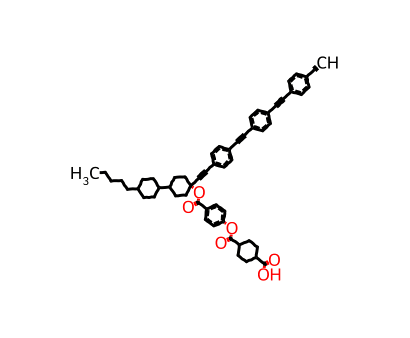 C#Cc1ccc(C#Cc2ccc(C#Cc3ccc(C#CC4(OC(=O)c5ccc(OC(=O)C6CCC(C(=O)O)CC6)cc5)CCC(C5CCC(CCCCC)CC5)CC4)cc3)cc2)cc1